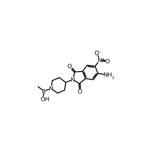 CB(O)N1CCC(N2C(=O)c3cc(N)c([N+](=O)[O-])cc3C2=O)CC1